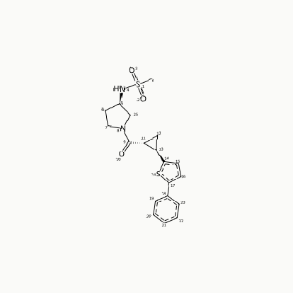 CS(=O)(=O)N[C@@H]1CCN(C(=O)[C@@H]2C[C@H]2c2ccc(-c3ccccc3)s2)C1